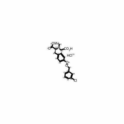 COC(=O)[C@H](Cc1ccc(OOCc2cccc(Cl)c2)cc1)N(C)CC(=O)O.Cl